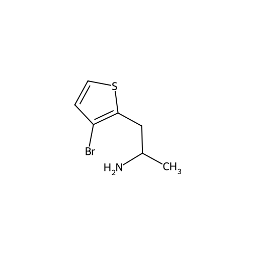 CC(N)Cc1sccc1Br